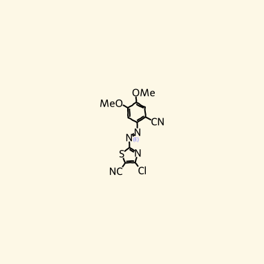 COc1cc(C#N)c(/N=N/c2nc(Cl)c(C#N)s2)cc1OC